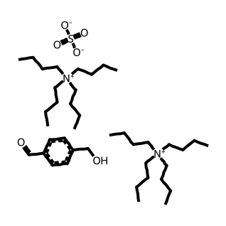 CCCC[N+](CCCC)(CCCC)CCCC.CCCC[N+](CCCC)(CCCC)CCCC.O=Cc1ccc(CO)cc1.O=S(=O)([O-])[O-]